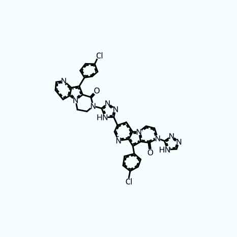 O=C1c2c(-c3ccc(Cl)cc3)c3ncccc3n2CCN1c1nnc(-c2cnc3c(-c4ccc(Cl)cc4)c4c(=O)n(-c5nnc[nH]5)ccn4c3c2)[nH]1